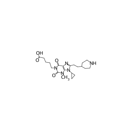 Cn1c(=O)n(CCCCC(=O)O)c(=O)c2nc(CCC3CCNCC3)n(C3CC3)c21